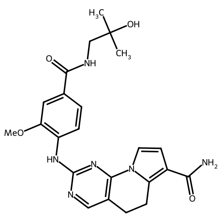 COc1cc(C(=O)NCC(C)(C)O)ccc1Nc1ncc2c(n1)-n1ccc(C(N)=O)c1CC2